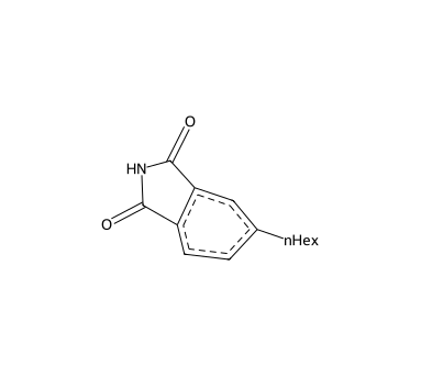 CCCCCCc1ccc2c(c1)C(=O)NC2=O